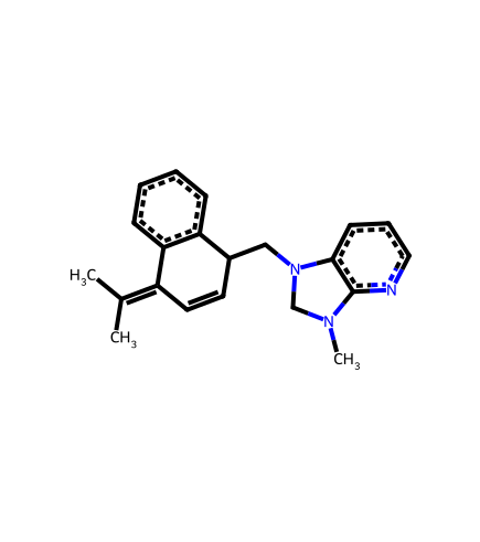 CC(C)=C1C=CC(CN2CN(C)c3ncccc32)c2ccccc21